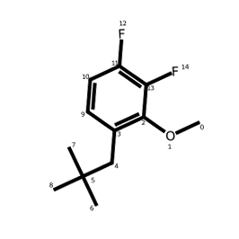 COc1c(CC(C)(C)C)ccc(F)c1F